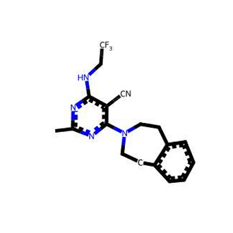 Cc1nc(NCC(F)(F)F)c(C#N)c(N2CCc3ccccc3CC2)n1